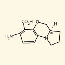 Nc1ccc2c(c1C(=O)O)OC[C@H]1CCCN21